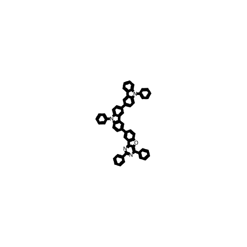 c1ccc(-c2nc(-c3ccccc3)c3oc4ccc(-c5ccc6c(c5)c5cc(-c7ccc8c(c7)c7ccccc7n8-c7ccccc7)ccc5n6-c5ccccc5)cc4c3n2)cc1